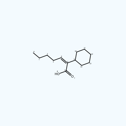 CCCCC=C(C(=O)O)C1CCCCC1